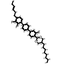 CC/C=C/CCc1ccc(-c2ccc(-c3ccc(C4OCC(CCCCCCCC)CO4)c(F)c3)cc2)c(F)c1F